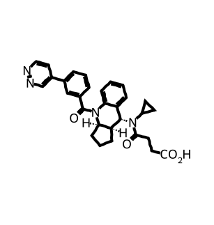 O=C(O)CCC(=O)N(C1CC1)[C@H]1c2ccccc2N(C(=O)c2cccc(-c3ccnnc3)c2)[C@@H]2CCC[C@@H]21